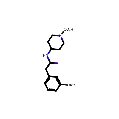 COc1cccc(CC(I)NC2CCN(C(=O)O)CC2)c1